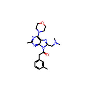 Cc1cccc(CC(=O)n2c(CN(C)C)nc3c(N4CCOCC4)nc(C)nc32)c1